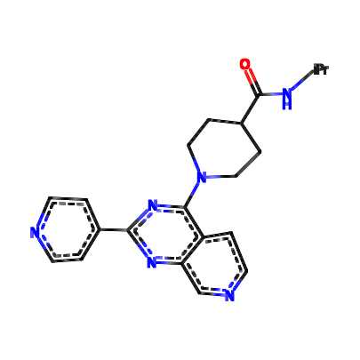 CC(C)NC(=O)C1CCN(c2nc(-c3ccncc3)nc3cnccc23)CC1